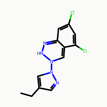 CCc1cnn(N2C=c3c(Cl)cc(Cl)cc3=NN2)c1